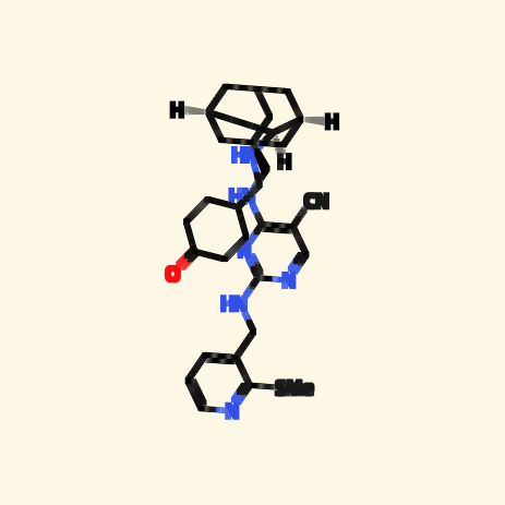 CSc1ncccc1CNc1ncc(C#N)c(NC[C@]23CC4C[C@H](C2)[C@H](NCC2CCC(=O)CC2)[C@@H](C4)C3)n1